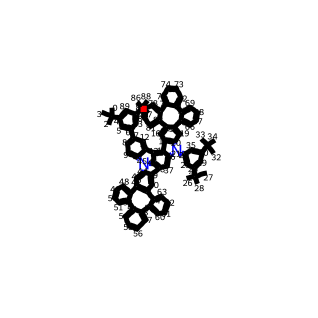 CC(C)(C)c1cc(-c2ccc3c(c2)c2c4c5cc6c(cc5n(-c5cc(C(C)(C)C)cc(C(C)(C)C)c5)c4cc4c5cc7c(cc5n3c42)-c2ccccc2-c2ccccc2-c2ccccc2-7)-c2ccccc2-c2ccccc2-c2ccccc2-6)cc(C(C)(C)C)c1